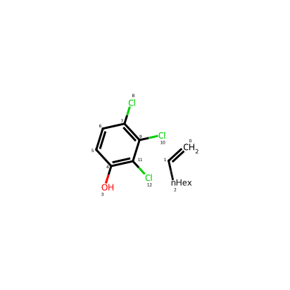 C=CCCCCCC.Oc1ccc(Cl)c(Cl)c1Cl